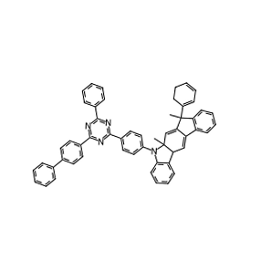 CC1(C2=CC=CCC2)C2=CC3(C)C(C=C2c2ccccc21)c1ccccc1N3c1ccc(-c2nc(-c3ccccc3)nc(-c3ccc(-c4ccccc4)cc3)n2)cc1